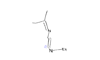 CC/N=C\N=C(C)C